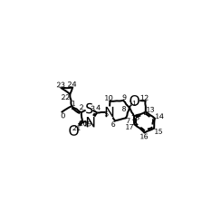 C/C(=C1/SC(N2CCC3(CC2)OCc2ccccc23)=NC1=O)C1CC1